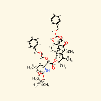 CC[C@H](OC(=O)OCc1ccccc1)C(C)(C)C(=O)[C@H](C)/C(C)=C(\C)[C@H](C)OC(=O)C(OCOCc1ccccc1)[C@H](CC(C)C)NC(=O)OC(C)(C)C